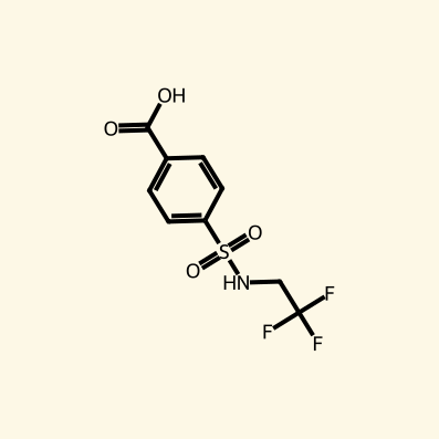 O=C(O)c1ccc(S(=O)(=O)NCC(F)(F)F)cc1